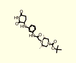 C[C@@H]1CN(C(=O)OC(C)(C)C)C[C@H](C)N1CC(=O)Nc1cccc(NC2CCC(=O)NC2=O)c1